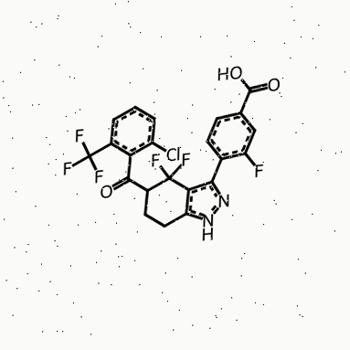 O=C(O)c1ccc(-c2n[nH]c3c2C(F)(F)C(C(=O)c2c(Cl)cccc2C(F)(F)F)CC3)c(F)c1